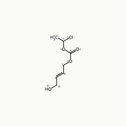 CC(Cl)OC(=O)OC/C=C/CO